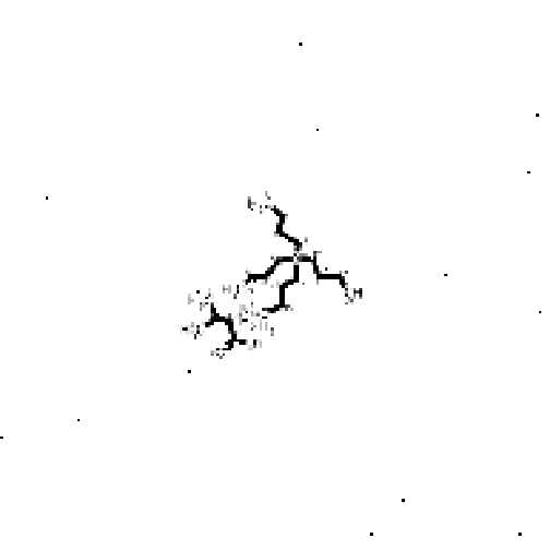 CC(C)[C@H](N)C(=O)[O-].CCCC[N+](CCCC)(CCCC)CCCC